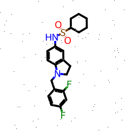 O=S(=O)(Nc1ccc2c(c1)CCN2Cc1ccc(F)cc1F)C1CCCCC1